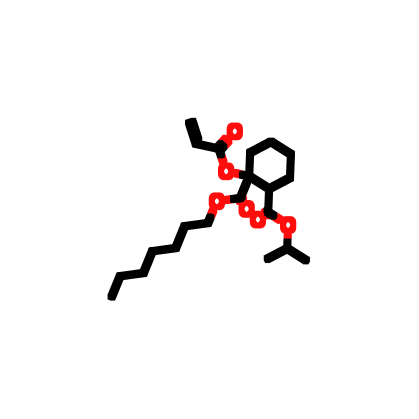 C=CC(=O)OC1(C(=O)OCCCCCCC)CCCCC1C(=O)OC(C)C